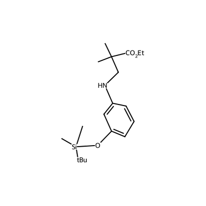 CCOC(=O)C(C)(C)CNc1cccc(O[Si](C)(C)C(C)(C)C)c1